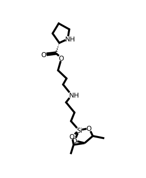 CC1O[Si]2(CCCNCCCOC(=O)[C@@H]3CCCN3)OC(C)C1O2